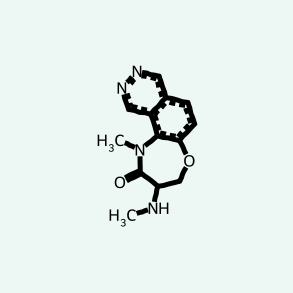 CNC1COc2ccc3cnncc3c2N(C)C1=O